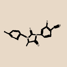 Cc1ccc(N2C(=S)N(c3ccc(C#N)c(F)c3)C(=O)C2C)cc1